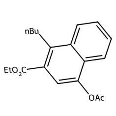 CCCCc1c(C(=O)OCC)cc(OC(C)=O)c2ccccc12